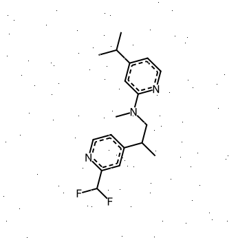 CC(C)c1ccnc(N(C)CC(C)c2ccnc(C(F)F)c2)c1